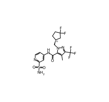 Cc1c(C(F)(F)F)nn(C[C@H]2CCC(F)(F)C2)c1C(=O)Nc1ccnc(S(N)(=O)=O)c1